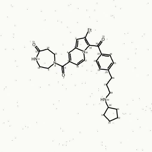 CCc1cc2cc(C(=O)N3CCNC(=O)CC3)ccn2c1C(=O)c1ccc(CCCNC2CCCC2)cc1